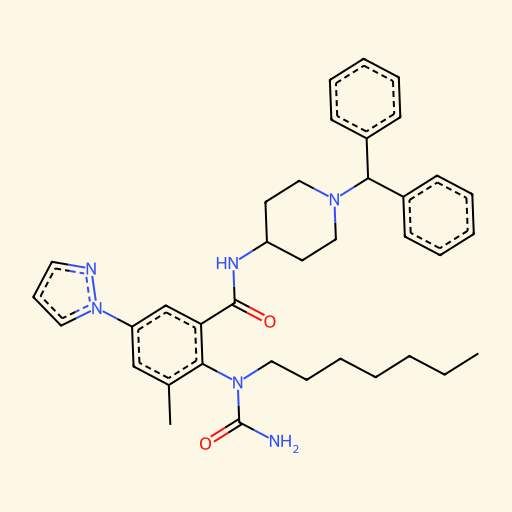 CCCCCCCN(C(N)=O)c1c(C)cc(-n2cccn2)cc1C(=O)NC1CCN(C(c2ccccc2)c2ccccc2)CC1